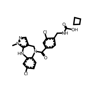 C1CCC1.Cn1ncc2c1Nc1cc(Cl)ccc1N(C(=O)c1ccc(CNC(=O)O)c(Cl)c1)C2